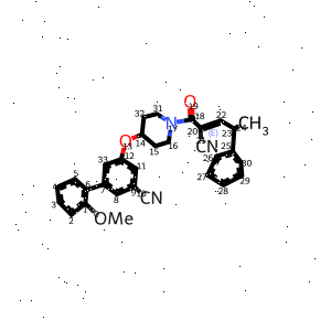 COc1ccccc1-c1cc(C#N)cc(OC2CCN(C(=O)/C(C#N)=C/C(C)c3ccccc3)CC2)c1